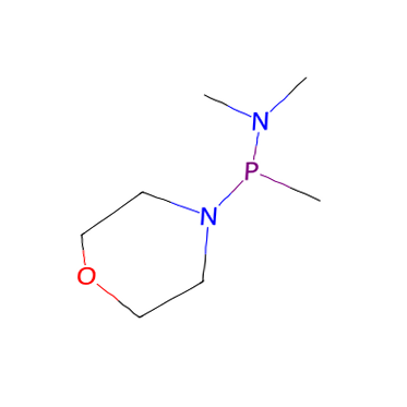 CN(C)P(C)N1CCOCC1